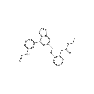 CCOC(=O)Cc1ccccc1OCc1cc(-c2cccc(NC=O)c2)c2occc2c1